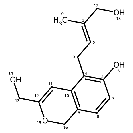 C/C(=C\Cc1c(O)ccc2c1C=C(CO)OC2)CO